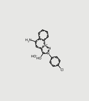 Nc1cc2c(O)n(-c3ccc(Cl)cc3)n[n+]2c2ccccc12.[OH-]